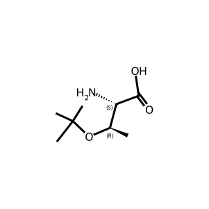 C[C@@H](OC(C)(C)C)[C@H](N)C(=O)O